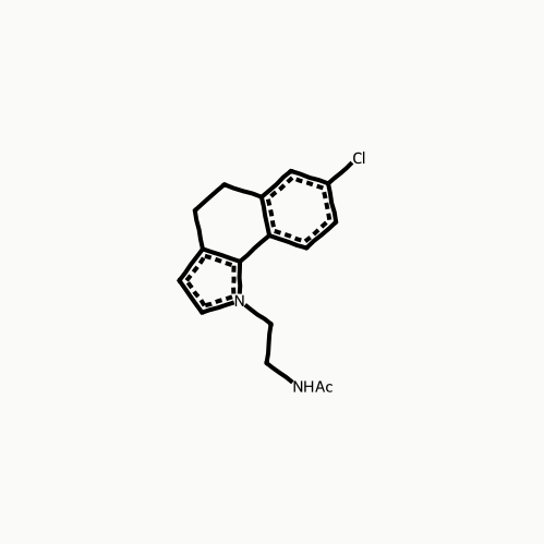 CC(=O)NCCn1ccc2c1-c1ccc(Cl)cc1CC2